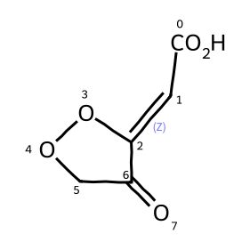 O=C(O)/C=C1\OOCC1=O